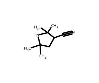 CC1(C)CC(C#N)C(C)(C)N1